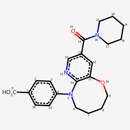 O=C(O)c1ccc(N2CCCCOc3cc(C(=O)N4CCCCC4)cnc32)cc1